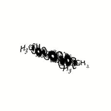 CC(C)Oc1ccc(C(=O)Oc2ccc(OC(=O)c3ccc(OC(C)C)cc3)cc2)cc1